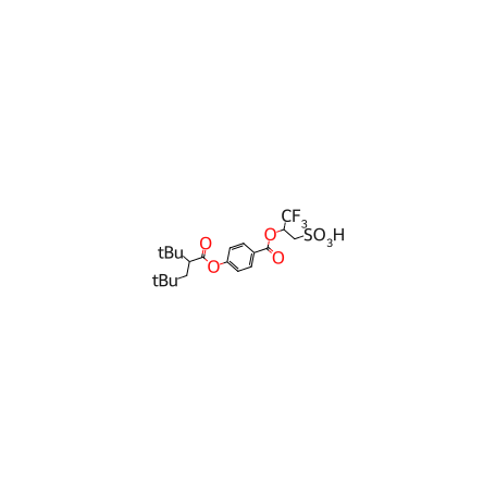 CC(C)(C)CC(C(=O)Oc1ccc(C(=O)OC(CS(=O)(=O)O)C(F)(F)F)cc1)C(C)(C)C